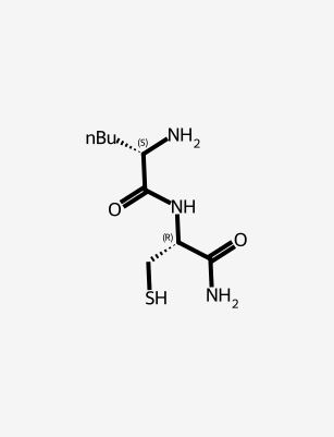 CCCC[C@H](N)C(=O)N[C@@H](CS)C(N)=O